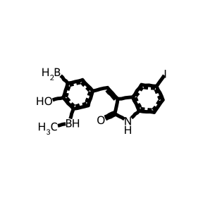 Bc1cc(C=C2C(=O)Nc3ccc(I)cc32)cc(BC)c1O